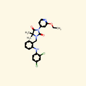 CCOc1cc(N2C(=O)N(Cc3ccccc3Nc3ccc(Cl)cc3Cl)C(C)(C)C2=O)ccn1